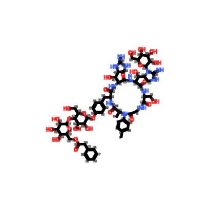 Cc1ccc(N2C(=O)CNC(=O)C(CO)NC(=O)C(C(O)C3CNC(=N)N3C3OC(CO)C(O)C(O)C3O)NC(=O)C(C(O)C3CNC(=N)N3)NC(=O)C(Cc3ccc(OC4OC(CO)C(OC5OC(COC(=O)Cc6ccccc6)C(O)C(O)C5O)C(O)C4O)cc3)NC(=O)C2C)cc1